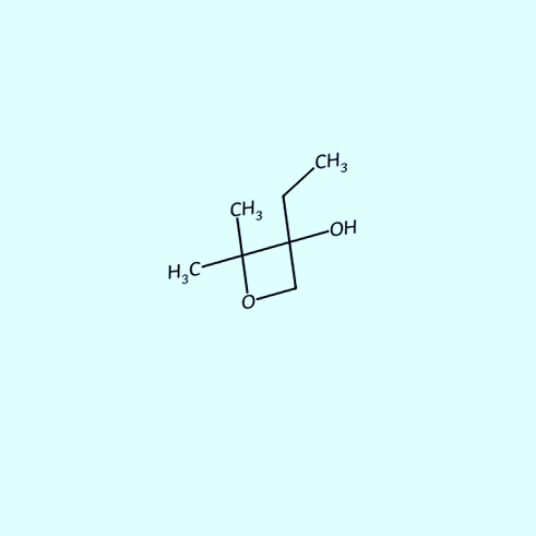 CCC1(O)COC1(C)C